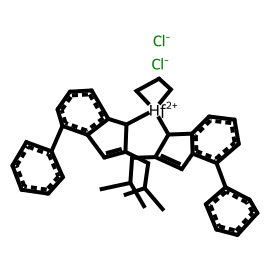 CC(C)CC1=Cc2c(-c3ccccc3)cccc2[CH]1[Hf+2]1([CH]2C(CC(C)C)=Cc3c(-c4ccccc4)cccc32)[CH2]C[CH2]1.[Cl-].[Cl-]